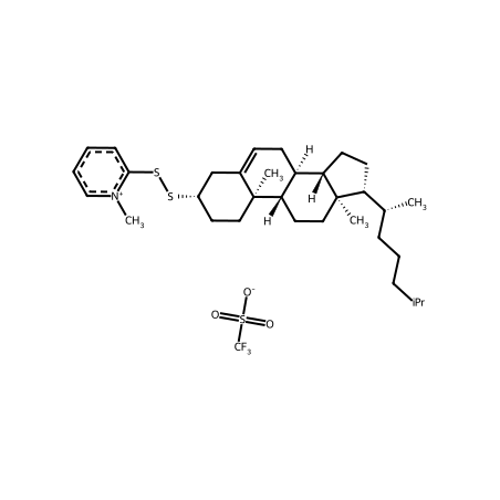 CC(C)CCC[C@@H](C)[C@H]1CC[C@H]2[C@@H]3CC=C4C[C@@H](SSc5cccc[n+]5C)CC[C@]4(C)[C@H]3CC[C@]12C.O=S(=O)([O-])C(F)(F)F